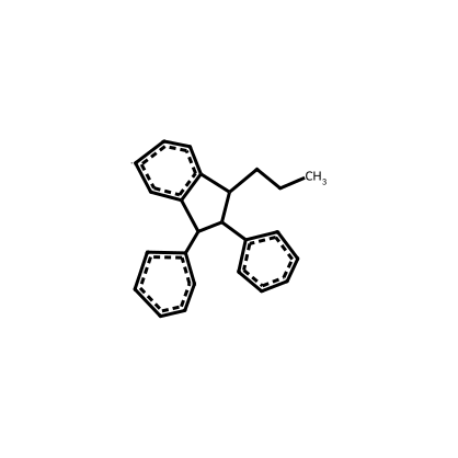 CCCC1c2cc[c]cc2C(c2ccccc2)C1c1ccccc1